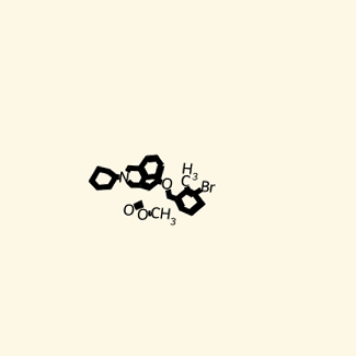 COC=O.Cc1c(Br)cccc1COC1=C2C=CC3=C(C2)C(=C1)CN(C1CCCCC1)C3